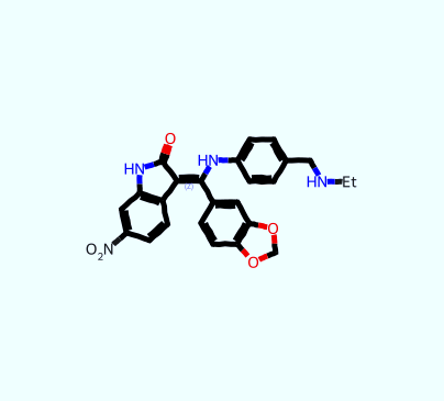 CCNCc1ccc(N/C(=C2\C(=O)Nc3cc([N+](=O)[O-])ccc32)c2ccc3c(c2)OCO3)cc1